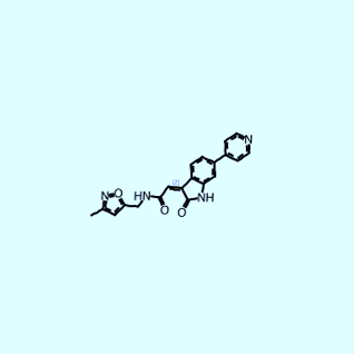 Cc1cc(CNC(=O)/C=C2\C(=O)Nc3cc(-c4ccncc4)ccc32)on1